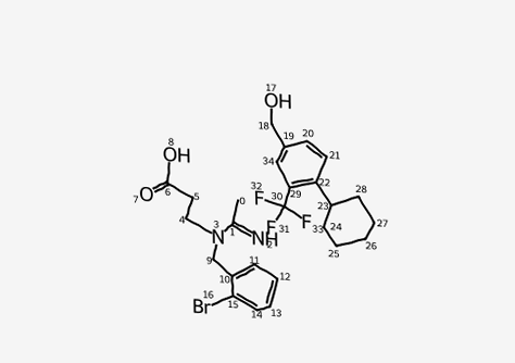 CC(=N)N(CCC(=O)O)Cc1ccccc1Br.OCc1ccc(C2CCCCC2)c(C(F)(F)F)c1